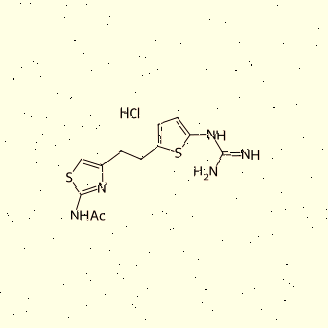 CC(=O)Nc1nc(CCc2ccc(NC(=N)N)s2)cs1.Cl